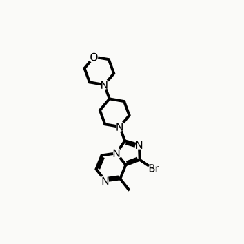 Cc1nccn2c(N3CCC(N4CCOCC4)CC3)nc(Br)c12